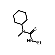 CCNC(=S)N(C)C1CCCCC1